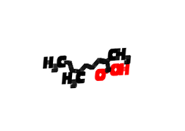 CCCC(C)CCC=C(C)C(=O)O